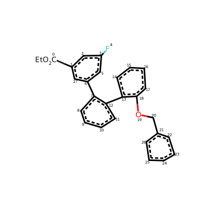 CCOC(=O)c1cc(F)cc(-c2ccccc2-c2ccccc2OCc2ccccc2)c1